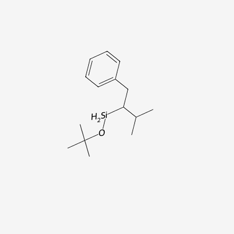 CC(C)C(Cc1ccccc1)[SiH2]OC(C)(C)C